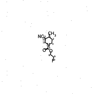 CC1CCN(C(=O)OCCF)CC1C#N